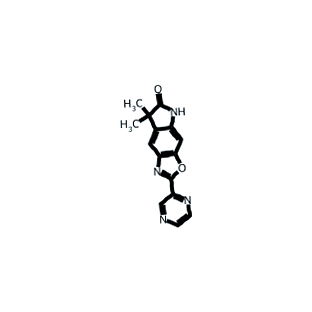 CC1(C)C(=O)Nc2cc3oc(-c4cnccn4)nc3cc21